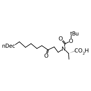 CCCCCCCCCCCCCCCC(=O)CCN(C(=O)OC(C)(C)C)[C@@H](C)C(=O)O